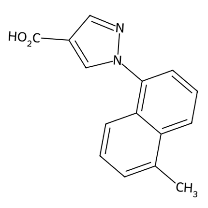 Cc1cccc2c(-n3cc(C(=O)O)cn3)cccc12